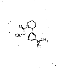 CCN(C)c1cccc(C2CCCCN2C(=O)OC(C)(C)C)c1